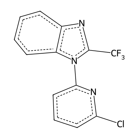 FC(F)(F)c1nc2ccccc2n1-c1cccc(Cl)n1